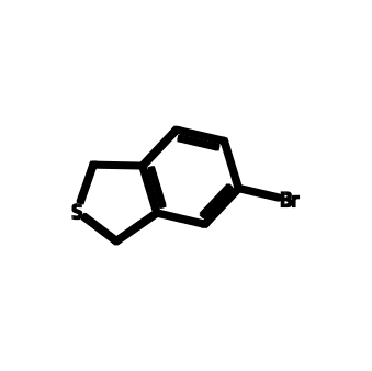 Brc1ccc2c(c1)CSC2